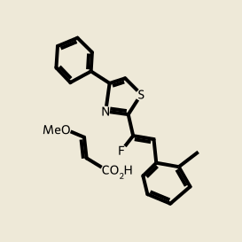 COC=CC(=O)O.Cc1ccccc1C=C(F)c1nc(-c2ccccc2)cs1